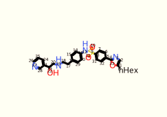 CCCCCCc1cnc(-c2ccc(S(=O)(=O)Nc3ccc(CCNCC(O)c4cccnc4)cc3)cc2)o1